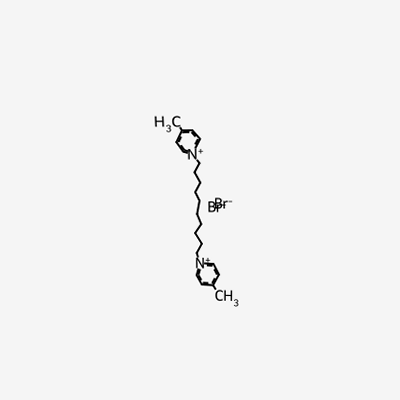 Cc1cc[n+](CCCCCCCCCC[n+]2ccc(C)cc2)cc1.[Br-].[Br-]